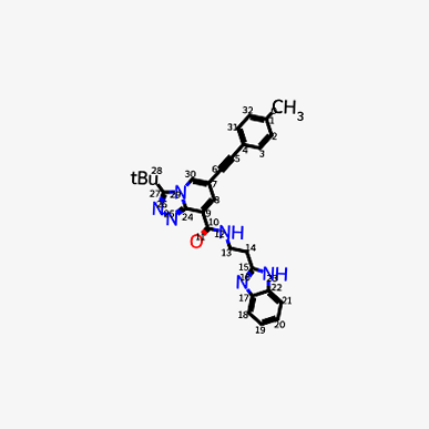 Cc1ccc(C#Cc2cc(C(=O)NCCc3nc4ccccc4[nH]3)c3nnc(C(C)(C)C)n3c2)cc1